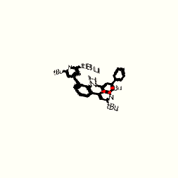 CC(C)(C)c1cc(-c2cccc(-c3cc(C(C)(C)C)nc(C(C)(C)C)c3)c2Nc2cccc(-c3ccccc3)c2)cc(C(C)(C)C)n1